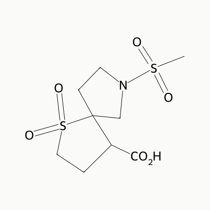 CS(=O)(=O)N1CCC2(C1)C(C(=O)O)CCS2(=O)=O